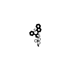 CCOC(=O)Oc1cc2c(s1)-c1ccc3ccccc3c1Sc1ccccc1-2